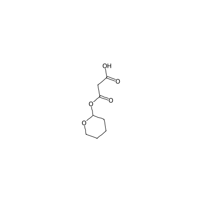 O=C(O)CC(=O)OC1CCCCO1